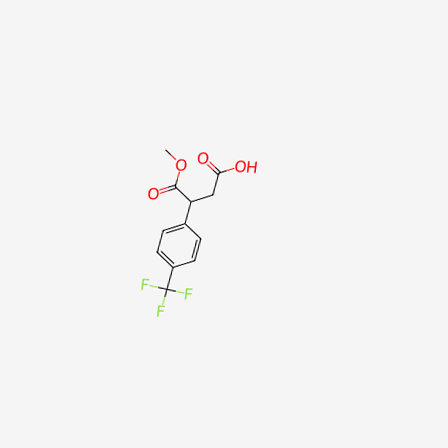 COC(=O)C(CC(=O)O)c1ccc(C(F)(F)F)cc1